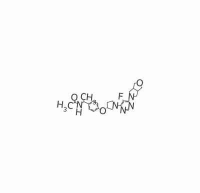 CC(=O)N[C@@H](C)c1ccc(O[C@@H]2CCN(c3ncnc(N4CC5COCC5C4)c3F)C2)cc1